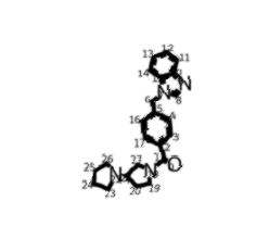 O=C(c1ccc(Cn2cnc3ccccc32)cc1)N1CC[C@H](N2CCCC2)C1